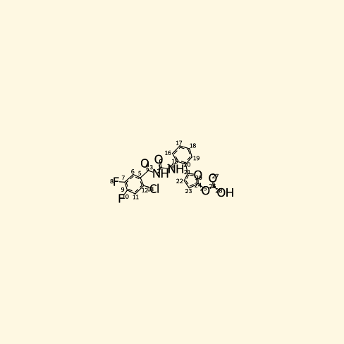 O=C(NC(=O)c1cc(F)c(F)cc1Cl)Nc1ccccc1-c1ccc(OC(=O)O)o1